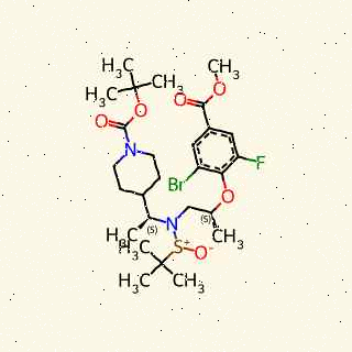 COC(=O)c1cc(F)c(O[C@@H](C)CN([C@@H](C)C2CCN(C(=O)OC(C)(C)C)CC2)[S+]([O-])C(C)(C)C)c(Br)c1